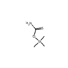 C[Si](C)(C)OC(N)=S